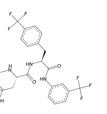 CN[C@@H](CC(=O)O)C(=O)N[C@@H](Cc1ccc(C(F)(F)F)cc1)C(=O)Nc1cccc(C(F)(F)F)c1